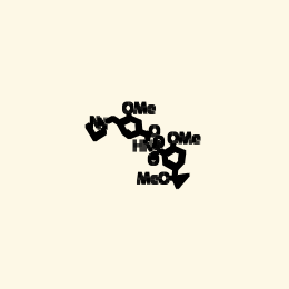 COc1cc(C(=O)NS(=O)(=O)c2cc(C3(OC)CC3)ccc2OC)ccc1Cn1cccn1